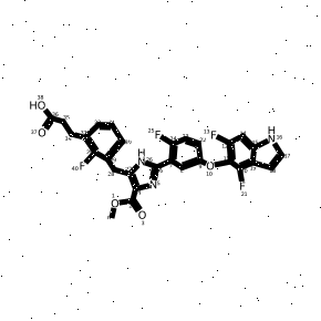 COC(=O)c1nc(-c2cc(Oc3c(F)cc4[nH]ccc4c3F)ccc2F)[nH]c1Cc1cccc(CCC(=O)O)c1F